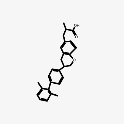 Cc1cccc(C)c1-c1ccc(C2COc3ccc(CC(C)C(=O)O)cc3C2)cc1